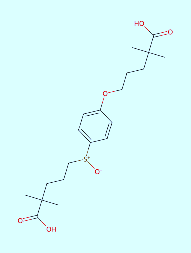 CC(C)(CCCOc1ccc([S+]([O-])CCCC(C)(C)C(=O)O)cc1)C(=O)O